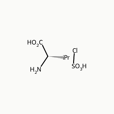 CC(C)[C@H](N)C(=O)O.O=S(=O)(O)Cl